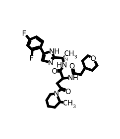 CC1CCCCN1C(=O)CC(NC(=O)CC1CCOCC1)C(=O)N[C@@H](C)c1ncc(-c2ccc(F)cc2F)[nH]1